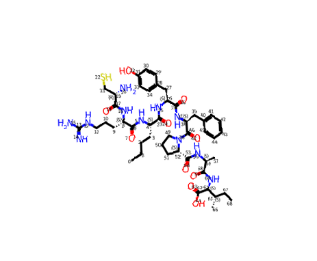 CCCC[C@H](NC(=O)[C@H](CCCNC(=N)N)NC(=O)[C@@H](N)CS)C(=O)N[C@@H](Cc1ccc(O)cc1)C(=O)N[C@@H](Cc1ccccc1)C(=O)N1CCC[C@H]1C(=O)N[C@@H](C)C(=O)N[C@H](C(=O)O)[C@@H](C)CC